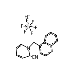 N#CC1C=CC=CN1Cc1cccc2ccccc12.[F][Sb-]([F])([F])([F])([F])[F].[H+]